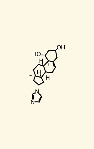 C[C@]12CC[C@H]3[C@@H](CC=C4C[C@@H](O)C[C@@H](O)[C@@]43C)[C@@H]1C[C@H](n1ccnc1)C2